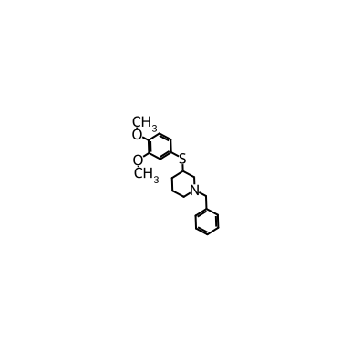 COc1ccc(SC2CCCN(Cc3ccccc3)C2)cc1OC